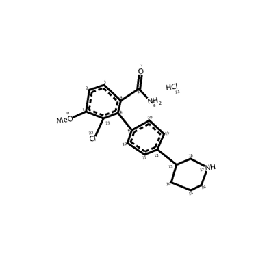 COc1ccc(C(N)=O)c(-c2ccc(C3CCCNC3)cc2)c1Cl.Cl